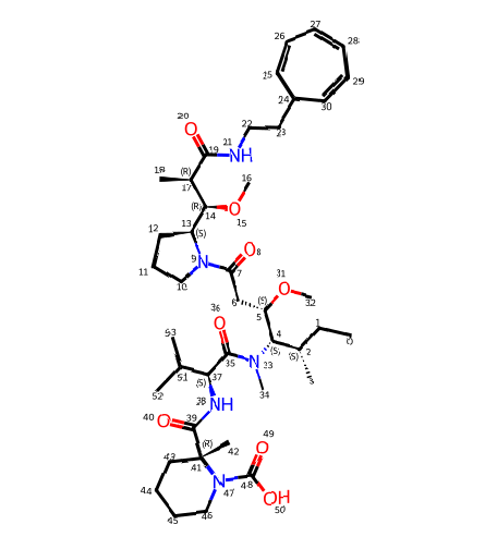 CC[C@H](C)[C@@H]([C@H](CC(=O)N1CCC[C@H]1[C@H](OC)[C@@H](C)C(=O)NCCC1C=CC=CC=C1)OC)N(C)C(=O)[C@@H](NC(=O)[C@@]1(C)CCCCN1C(=O)O)C(C)C